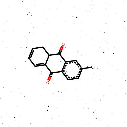 Cc1ccc2c(c1)C(=O)C1CC=CC=C1C2=O